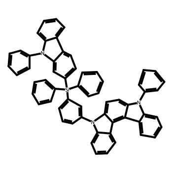 c1ccc(-n2c3ccccc3c3ccc([Si](c4ccccc4)(c4ccccc4)c4cccc(-n5c6ccccc6c6c7c8ccccc8n(-c8ccccc8)c7ccc65)c4)cc32)cc1